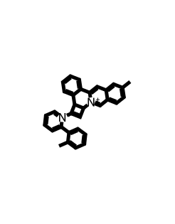 Cc1ccc2c[n+]3c(cc2c1)-c1ccccc1C1C([n+]2ccccc2-c2ccccc2C)=CC13